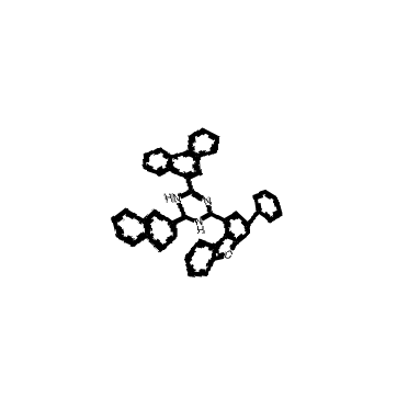 c1ccc(-c2cc(C3N=C(c4cc5ccccc5c5ccccc45)NC(c4ccc5ccccc5c4)N3)c3c(c2)oc2ccccc23)cc1